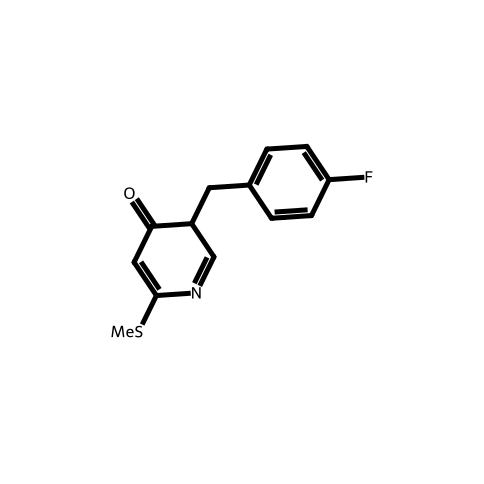 CSC1=CC(=O)C(Cc2ccc(F)cc2)C=N1